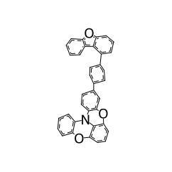 c1ccc2c(c1)Oc1cccc3c1N2c1ccc(-c2ccc(-c4cccc5oc6ccccc6c45)cc2)cc1O3